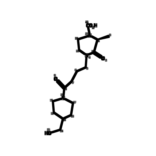 C[C@H]1C(=O)N(CCCC(=O)N2CCC(CO)CC2)CCN1C(=O)O